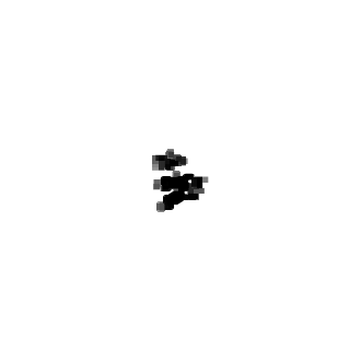 [S]=[Cu-].[S]=[Cu-].[Te+2]